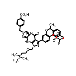 CC(Oc1cc(-c2nn(COCC[Si](C)(C)C)c(Nc3ccn(Cc4ccc(C(=O)O)cc4)n3)c2C(N)=O)ccc1NS(=O)(=O)C(F)F)c1ccc(F)cc1